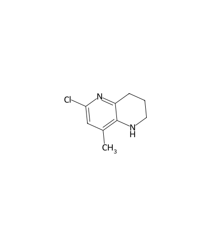 Cc1cc(Cl)nc2c1NCCC2